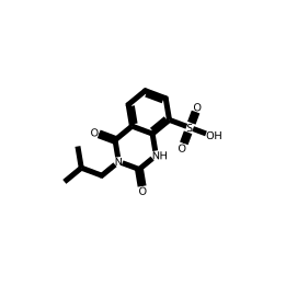 CC(C)Cn1c(=O)[nH]c2c(S(=O)(=O)O)cccc2c1=O